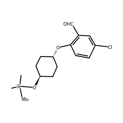 CC(C)(C)[Si](C)(C)O[C@H]1CC[C@H](Oc2ccc(Cl)cc2C=O)CC1